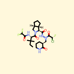 CCC(C)(C)[C@H](NC(=O)C(F)F)C(=O)N1C[C@@H]2CCC[C@@H]2[C@H]1C(=O)NN(C[C@@H]1CCCNC1=O)C(=O)[C@H](F)Cl